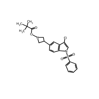 CC(C)(C)C(=O)ON1CC(c2ccc3c(c2)c(Cl)cn3S(=O)(=O)c2ccccc2)C1